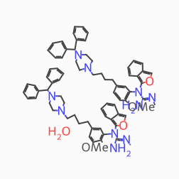 CN=C(N)N(c1cc(CCCCN2CCN(C(c3ccccc3)c3ccccc3)CC2)ccc1OC)c1occ2ccccc12.CN=C(N)N(c1cc(CCCCN2CCN(C(c3ccccc3)c3ccccc3)CC2)ccc1OC)c1occ2ccccc12.O